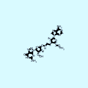 Nc1nc2c(nnn2[C@@H]2OC(OPCC[C@H]3[C@H](F)[C@H](n4cnc5c(N)ncnc54)O[C@@H]3COP)[C@H](F)[C@H]2OO)c(=O)[nH]1